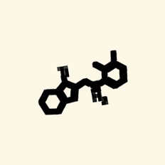 Cc1cccc([SiH2]CC2=CC3=C(CCCC3)[CH]2[Ti])c1C